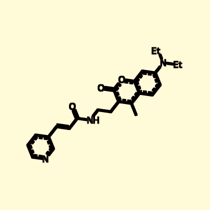 CCN(CC)c1ccc2c(C)c(CCNC(=O)C=Cc3cccnc3)c(=O)oc2c1